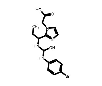 CCC(NC(O)Nc1ccc(Br)cc1)c1nccn1CC(=O)O